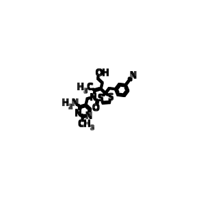 C/C(=C(\CCO)C1(Cc2cccc(C#N)c2)SC=CS1)N(C=O)Cc1cnc(C)nc1N